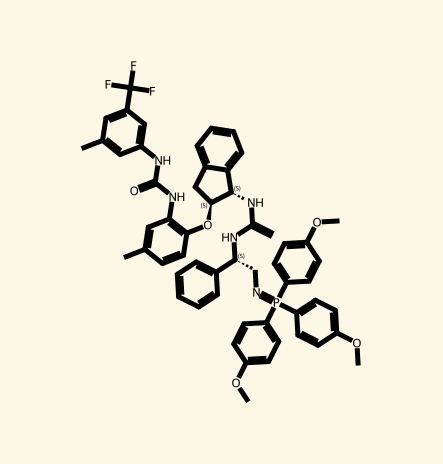 C=C(N[C@H](CN=P(c1ccc(OC)cc1)(c1ccc(OC)cc1)c1ccc(OC)cc1)c1ccccc1)N[C@H]1c2ccccc2C[C@@H]1Oc1ccc(C)cc1NC(=O)Nc1cc(C)cc(C(F)(F)F)c1